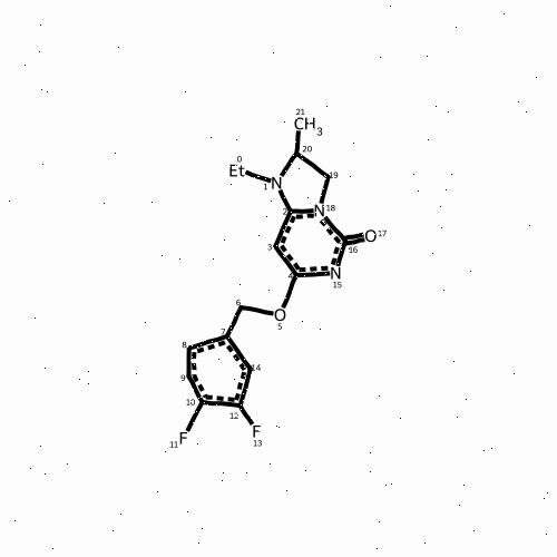 CCN1c2cc(OCc3ccc(F)c(F)c3)nc(=O)n2CC1C